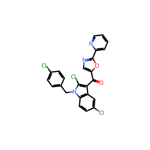 O=C(c1cnc(-c2ccccn2)o1)c1c(Cl)n(Cc2ccc(Cl)cc2)c2ccc(Cl)cc12